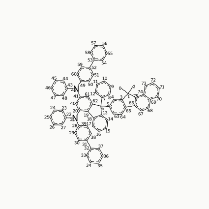 CC1(C)c2cc(C3(c4ccccc4)c4ccccc4-c4c(N(c5ccccc5)c5ccc(-c6ccccc6)cc5)cc(N(c5ccccc5)c5ccc(-c6ccccc6)cc5)cc43)ccc2-c2ccc3ccccc3c21